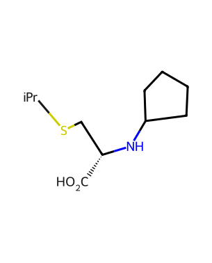 CC(C)SC[C@H](NC1CCCC1)C(=O)O